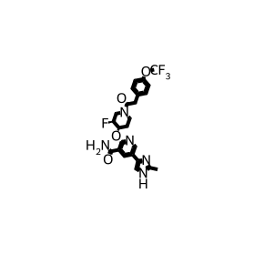 Cc1nc(-c2cnc(O[C@@H]3CCN(C(=O)Cc4ccc(OC(F)(F)F)cc4)C[C@@H]3F)c(C(N)=O)c2)c[nH]1